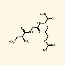 CNC(=O)[C@H](CCCNC(=N)N)NC(=O)CNC(=O)[C@@H](N)CC(=O)O